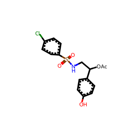 CC(=O)OC(CNS(=O)(=O)c1ccc(Cl)cc1)c1ccc(O)cc1